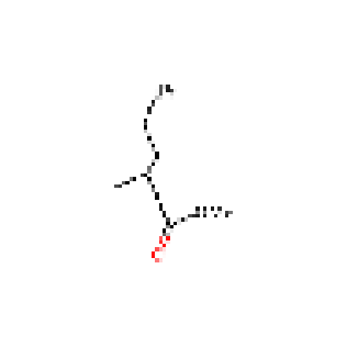 COC(=O)C(C)CCC(C)C